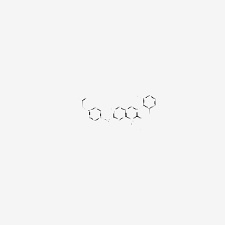 Cn1c(=O)c(-c2c(Cl)cccc2Cl)cc2cnc(Nc3ccc(CC(=O)O)cc3)cc21